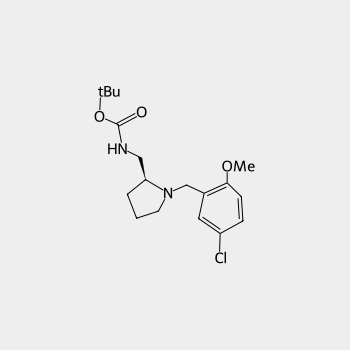 COc1ccc(Cl)cc1CN1CCC[C@H]1CNC(=O)OC(C)(C)C